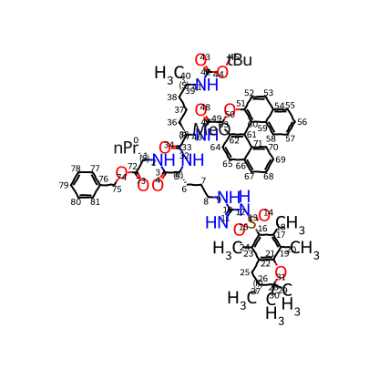 CCC[C@H](NC(=O)[C@@H](CCCNC(=N)NS(=O)(=O)c1c(C)c(C)c2c(c1C)C[C@@H](C)C(C)(C)O2)NC(=O)[C@@H](CCC[C@H](C)NC(=O)OC(C)(C)C)NC(=O)COc1ccc2ccccc2c1-c1c(OC)ccc2ccccc12)C(=O)OCc1ccccc1